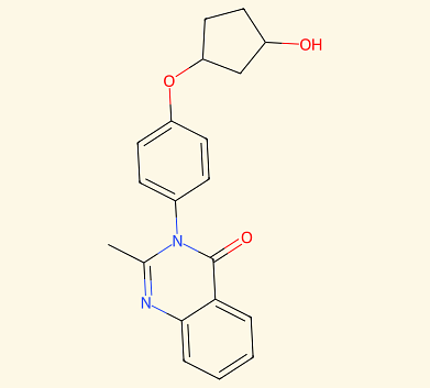 Cc1nc2ccccc2c(=O)n1-c1ccc(OC2CCC(O)C2)cc1